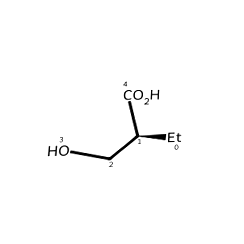 CC[C@@H](CO)C(=O)O